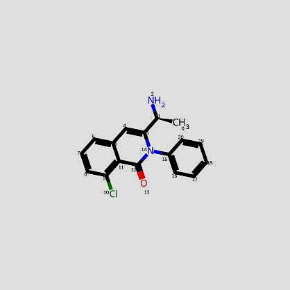 C[C@H](N)c1cc2cccc(Cl)c2c(=O)n1-c1ccccc1